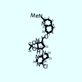 CNc1ccc2ccc(OCC3=C[C@@H](n4ccc5c(Cl)ncnc54)[C@@H]4OC(C)(C)O[C@H]34)cc2n1